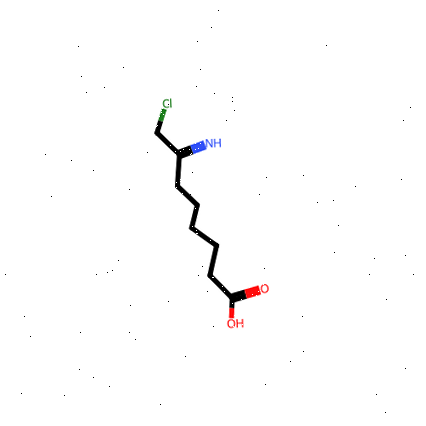 N=C(CCl)CCCCCC(=O)O